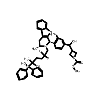 C[C@@H]1Cc2c([nH]c3ccccc23)[C@@H](c2ccc(C(O)C3CN(C(=O)OC(C)(C)C)C3)cc2C#N)N1CC(F)(F)CCC(C)(C)[Si](O)(c1ccccc1)c1ccccc1